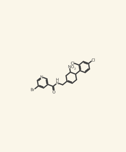 O=C(NCC1=CCC(c2ccc(Cl)cc2Cl)C([N+](=O)[O-])C1)c1cncc(Br)c1